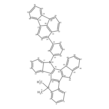 CC1(C)c2ccccc2-c2c1c1c3ccccc3n(-c3cccc(-c4ccc5c6c(cccc46)-c4ccccc4-5)c3)c1c1c2sc2ccccc21